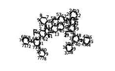 Fc1cc(N(c2ccccc2)c2ccc3ccc4c(N(c5ccccc5)c5cc(F)c(-c6cc(-c7ccccc7)cc(-c7ccccc7)c6)cc5F)ccc5ccc2c3c54)c(F)cc1-c1cc(-c2ccccc2)cc(-c2ccccc2)c1